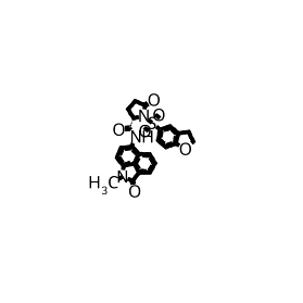 CN1C(=O)c2cccc3c(NC(=O)[C@@H]4CCC(=O)N4S(=O)(=O)c4ccc5c(c4)CCO5)ccc1c23